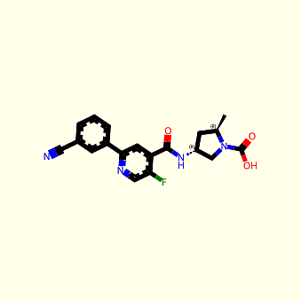 C[C@@H]1C[C@@H](NC(=O)c2cc(-c3cccc(C#N)c3)ncc2F)CN1C(=O)O